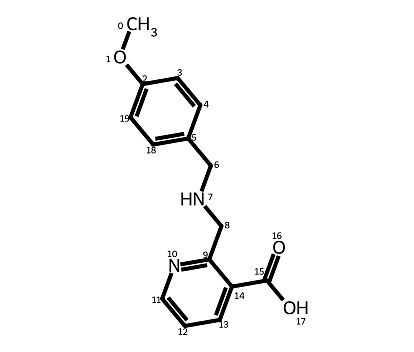 COc1ccc(CNCc2ncccc2C(=O)O)cc1